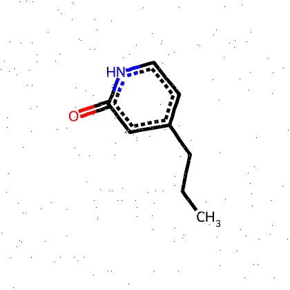 CCCc1[c]c(=O)[nH]cc1